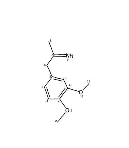 COc1ccc(CC(C)=N)cc1OC